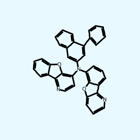 c1ccc(-c2cc(N(c3cccc4c3oc3cccnc34)c3ccnc4c3oc3ccccc34)cc3ccccc23)cc1